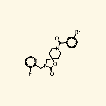 O=C1OC2(CCN(C(=O)c3cccc(Br)c3)CC2)CN1Cc1ccccc1F